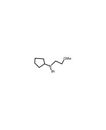 COCCN(C(C)C)C1CCCC1